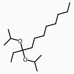 CCCCCCCCC(CC)(OC(C)C)OC(C)C